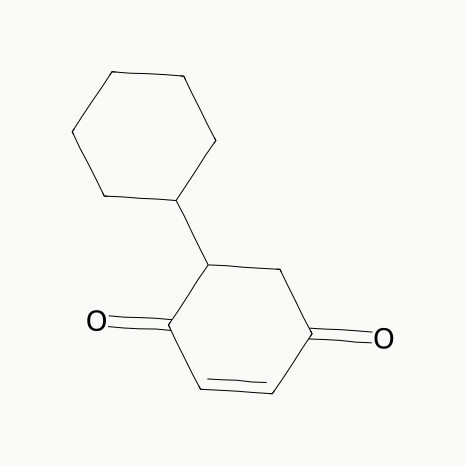 O=C1C=CC(=O)C(C2CCCCC2)C1